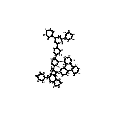 c1ccc(-c2cc(-c3ccc(-c4ccc(-c5sc6c(-c7ccccc7)nc7ccccc7c6c5-c5ccc6c7ccccc7c7ccccc7c6c5)cc4)cc3)nc(-c3ccccc3)n2)cc1